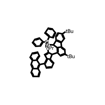 CCCC1=Cc2c(-c3c4ccccc4cc4ccccc34)cccc2C1c1cc(C(C)(C)C)cc2c1[CH]([Zr][SiH](c1ccccc1)c1ccccc1)c1ccc(C(C)(C)C)cc1-2